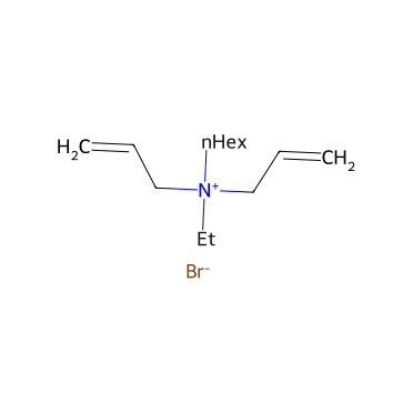 C=CC[N+](CC)(CC=C)CCCCCC.[Br-]